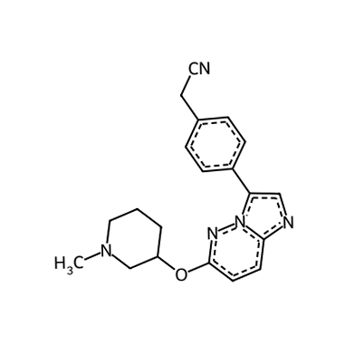 CN1CCCC(Oc2ccc3ncc(-c4ccc(CC#N)cc4)n3n2)C1